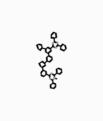 CN1C(c2ccccc2)=NC(c2cccc(-c3cccc(-c4cccc(-c5cc(-c6ccccc6)cc(-c6nc(-c7ccccc7)nc(-c7ccccc7)n6)c5)c4)c3)c2)=NC1c1ccccc1